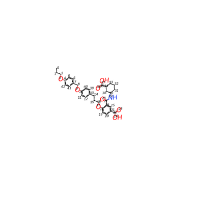 CCCOc1ccc(COc2ccc(CCCOc3ccc(C(=O)O)cc3C(=O)NC3CCCC(C(=O)O)C3)cc2)cc1